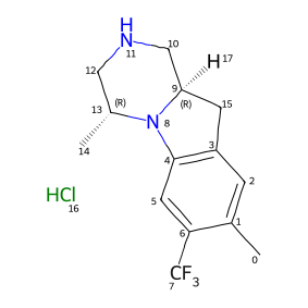 Cc1cc2c(cc1C(F)(F)F)N1[C@@H](CNC[C@H]1C)C2.Cl